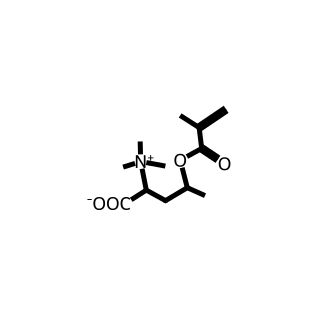 C=C(C)C(=O)OC(C)CC(C(=O)[O-])[N+](C)(C)C